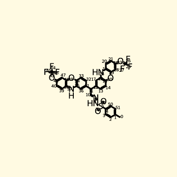 Cc1ccc(S(=O)(=O)N/N=C/C(c2ccc3c(c2)Nc2ccc(OC(F)(F)F)cc2O3)c2ccc3c(c2)Nc2ccc(OC(F)(F)F)cc2O3)cc1